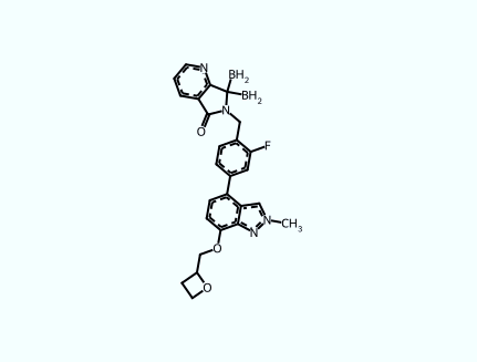 BC1(B)c2ncccc2C(=O)N1Cc1ccc(-c2ccc(OCC3CCO3)c3nn(C)cc23)cc1F